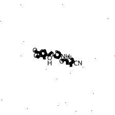 Cc1cc(C(=O)NC2CCN(C[C@@H](O)c3ccc4c(c3C)COC4=O)CC2)ncc1C#N